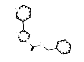 O=C(NCc1ccccc1)n1cnc(-c2cccnc2)c1